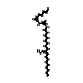 CCCCCCCCCC(N)CCCCCCCCC[C@H]1C[C@H]1C[C@H]1C[C@H]1CCCCC